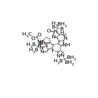 BC(B)(B)n1cc(-c2[nH]c3ncc4c(c3c2-c2cc(F)c3c(cnn3C(B)(B)B)c2)n([C@@H]2CC[C@@H](NC(=O)OC)C2)c(=O)n4C(B)(B)B)c(F)n1